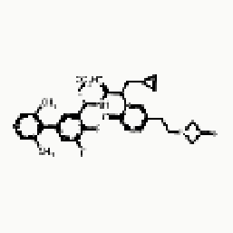 Cc1cccc(C)c1-c1cc(F)c(F)c([C@H](CC(=O)O)NC(=O)C(CC2CC2)n2cc(CCN3CC(F)C3)ccc2=O)c1